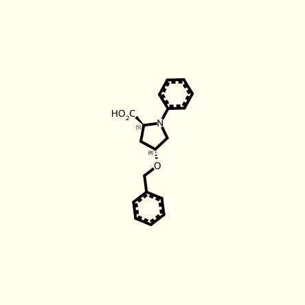 O=C(O)[C@@H]1C[C@@H](OCc2ccccc2)CN1c1ccccc1